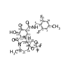 Cc1cc(F)c(CNC(=O)c2cn3c(c(O)c2=O)C(=O)N2C[C@@H]3[C@]3(CC[C@@H]2C)COC(F)(F)O3)c(F)c1